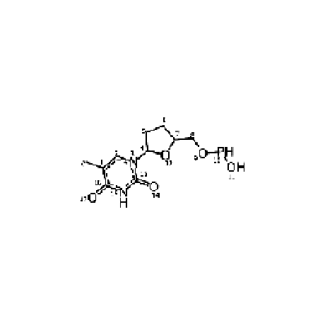 Cc1cn(C2CCC(COPO)O2)c(=O)[nH]c1=O